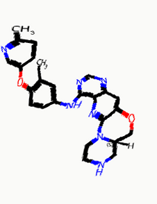 Cc1ccc(Oc2ccc(Nc3ncnc4cc5c(nc34)N3CCNC[C@H]3CO5)cc2C)cn1